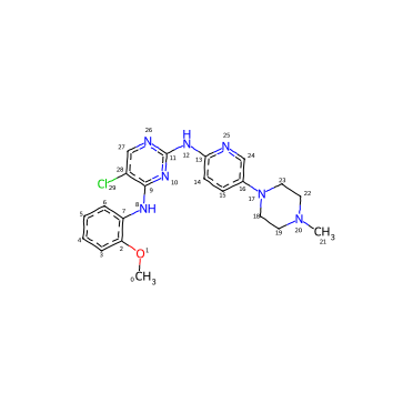 COc1ccccc1Nc1nc(Nc2ccc(N3CCN(C)CC3)cn2)ncc1Cl